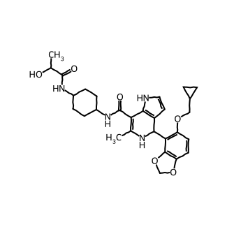 CC1=C(C(=O)NC2CCC(NC(=O)C(C)O)CC2)c2[nH]ccc2C(c2c(OCC3CC3)ccc3c2OCO3)N1